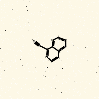 N#Cc1cccc2c[c]ccc12